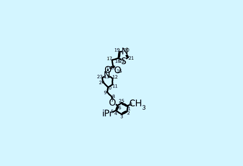 Cc1ccc(C(C)C)c(OCCC2CCN(OC(=O)Cc3cncs3)CC2)c1